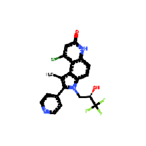 Cc1c(-c2ccncc2)n(C[C@H](O)C(F)(F)F)c2ccc3[nH]c(=O)cc(Cl)c3c12